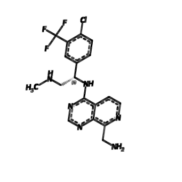 CNC[C@@H](Nc1ncnc2c(CN)nccc12)c1ccc(Cl)c(C(F)(F)F)c1